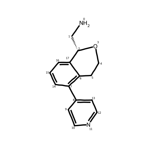 NC[C@@H]1OCCc2c(-c3ccncc3)cccc21